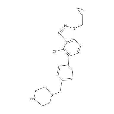 Clc1c(-c2ccc(CN3CCNCC3)cc2)ccc2c1nnn2CC1CC1